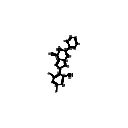 Cc1cc(C)c(-n2cc3c(=O)[nH]c(-c4ccccn4)nc3n2)c(O)c1